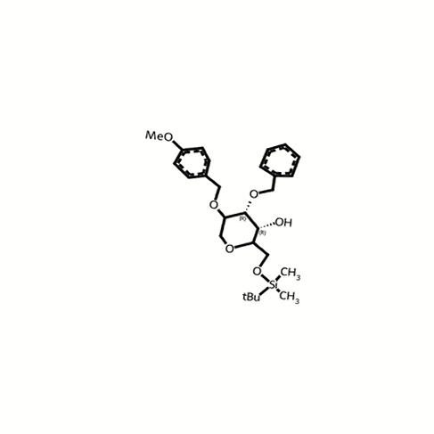 COc1ccc(COC2COC(CO[Si](C)(C)C(C)(C)C)[C@@H](O)[C@H]2OCc2ccccc2)cc1